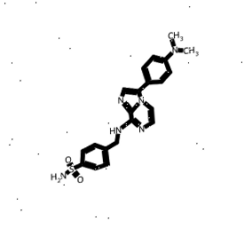 CN(C)c1ccc(-c2cnc3c(NCc4ccc(S(N)(=O)=O)cc4)nccn23)cc1